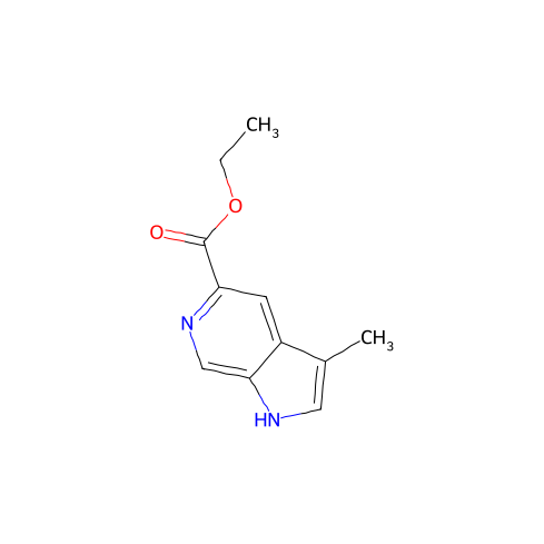 CCOC(=O)c1cc2c(C)c[nH]c2cn1